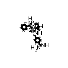 N=C(N)c1ccc(CNC(=O)[C@]23C[C@H]2CCN3C(=O)[C@H](N)c2ccccc2)cc1